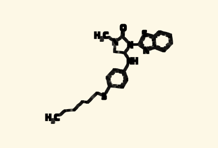 CCCCCCSc1ccc(NC2CN(C)C(=O)N2c2nc3ccccc3s2)cc1